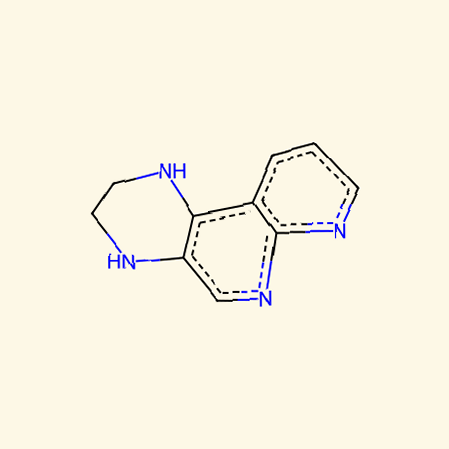 c1cnc2ncc3c(c2c1)NCCN3